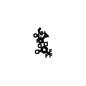 CCNC(=O)n1nc(Oc2c(Cl)cc(C(F)(F)F)cc2Cl)cc1C1CC1